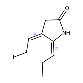 CC/C=C1/NC(=O)C/C1=C/CI